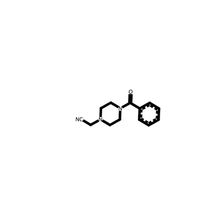 N#CCN1CCN(C(=O)c2ccccc2)CC1